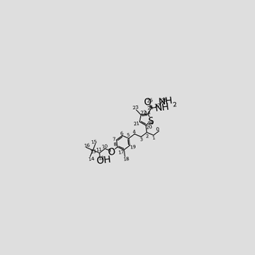 CCC(CCc1ccc(OCC(O)C(C)(C)C)c(C)c1)c1cc(C)c(C(=O)NN)s1